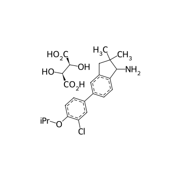 CC(C)Oc1ccc(-c2ccc3c(c2)CC(C)(C)C3N)cc1Cl.O=C(O)[C@@H](O)[C@H](O)C(=O)O